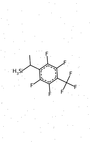 CC([SiH3])c1c(F)c(F)c(C(F)(F)F)c(F)c1F